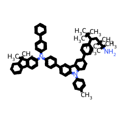 Cc1ccc(-n2c3ccc(-c4ccc(C(CC(C)(C)C(C)(C)N)C(C)(C)C)cc4)cc3c3cc(-c4ccc(N(c5ccc(-c6ccccc6)cc5)c5ccc6c(c5)C(C)(C)C5=C6C=CCC5)cc4)ccc32)cc1